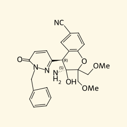 COCC1(COC)Oc2ccc(C#N)cc2[C@H](c2ccc(=O)n(Cc3ccccc3)n2)[C@]1(N)O